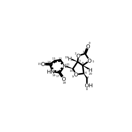 O=C1O[C@@H]2[C@H](O1)[C@@H](CO)O[C@H]2n1ccc(=O)[nH]c1=O